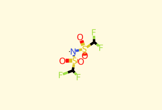 O=S(=O)([N]S(=O)(=O)C(F)F)C(F)F